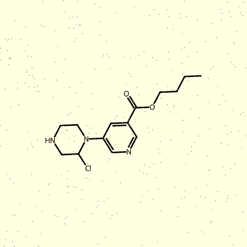 CCCCOC(=O)c1cncc(N2CCNCC2Cl)c1